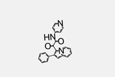 O=C(Nc1ccncc1)C(=O)c1c(-c2ccccc2)cc2ccccn12